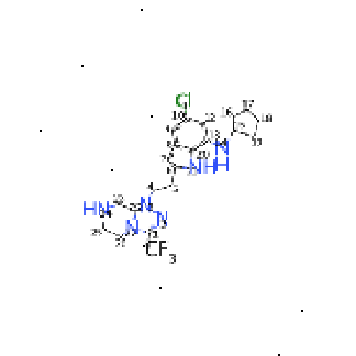 FC(F)(F)C1=NN(CCc2cc3cc(Cl)cc(NC4CCCC4)c3[nH]2)C2CNCCN12